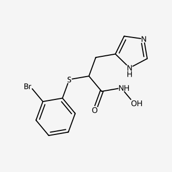 O=C(NO)C(Cc1cnc[nH]1)Sc1ccccc1Br